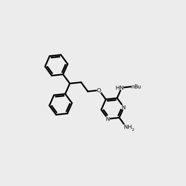 CCCCNc1nc(N)ncc1OCCC(c1ccccc1)c1ccccc1